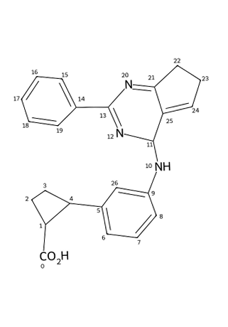 O=C(O)C1CCC1c1cccc(NC2N=C(c3ccccc3)N=C3CCC=C32)c1